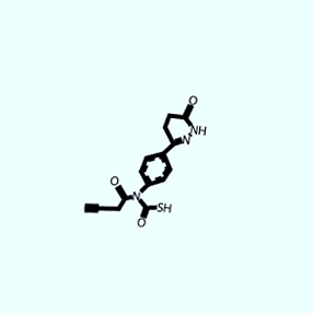 C#CCC(=O)N(C(=O)S)c1ccc(C2=NNC(=O)CC2)cc1